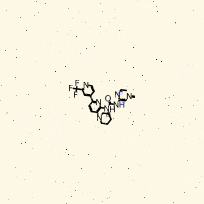 C=N/C=C(\N=C/C)NC(=O)N1c2nc(-c3ccnc(C(F)(F)F)c3)ccc2N2CCC[C@H]1C2